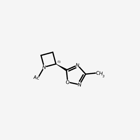 CC(=O)N1CC[C@H]1c1nc(C)no1